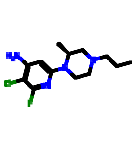 CCCN1CCN(c2cc(N)c(Cl)c(F)n2)[C@@H](C)C1